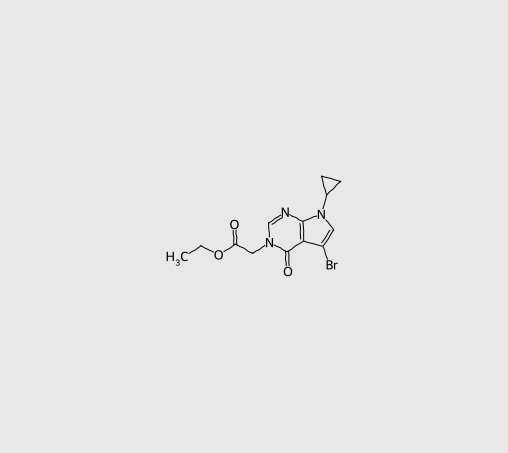 CCOC(=O)Cn1cnc2c(c(Br)cn2C2CC2)c1=O